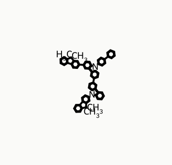 CC1(C)c2ccccc2-c2ccc(-c3ccc4c(c3)c3cc(-c5ccc6c(c5)c5ccccc5n6-c5ccc6c(c5)C(C)(C)c5ccccc5-6)ccc3n4-c3ccc(-c4ccccc4)cc3)cc21